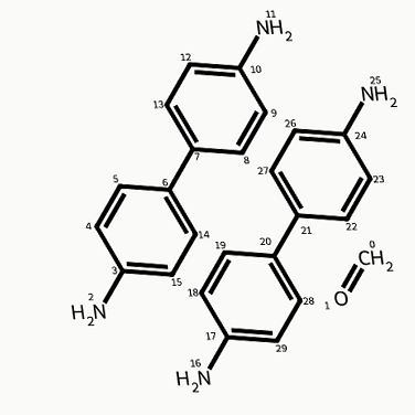 C=O.Nc1ccc(-c2ccc(N)cc2)cc1.Nc1ccc(-c2ccc(N)cc2)cc1